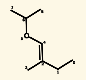 CCC(C)=COC(C)C